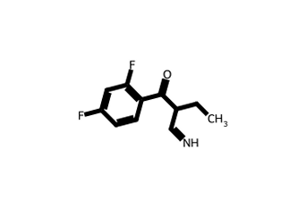 CCC(C=N)C(=O)c1ccc(F)cc1F